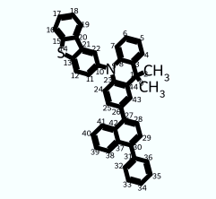 CC1(C)c2ccccc2N(c2ccc3sc4ccccc4c3c2)c2ccc(-c3ccc(-c4ccccc4)c4ccccc34)cc21